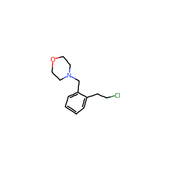 ClCCc1ccccc1CN1CCOCC1